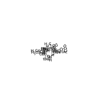 C=CC[C@H](NC(=O)[C@@H](CCCNC(=N)NS(=O)(=O)c1c(C)c(C)c2c(c1C)CCC(C)(C)O2)NC(=O)[C@@H](CCCCNC(=O)OC(C)(C)C)NC(=O)[C@H](Cc1ccc(-c2c3ccccc3cc3ccccc23)cc1)NC(C)=O)C(=O)OCc1ccccc1